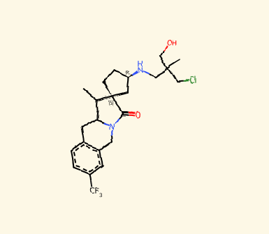 CC1C2Cc3ccc(C(F)(F)F)cc3CN2C(=O)[C@]12CC[C@@H](NCC(C)(CO)CCl)C2